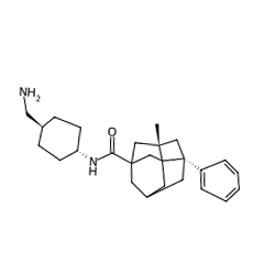 C[C@]12CC3(C(=O)N[C@H]4CC[C@H](CN)CC4)CC4CC1(C3)[C@](c1ccccc1)(C4)C2